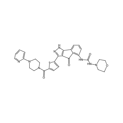 O=C(Nc1cccc2c1C(=O)c1c(-c3ccc(C(=O)N4CCN(c5ccccn5)CC4)s3)n[nH]c1-2)NN1CCOCC1